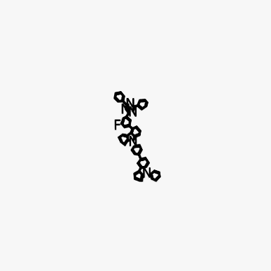 Fc1cc(-c2nc(-c3ccccc3)nc(-c3ccccc3)n2)cc(-c2cccc3c2c2ccccc2n3-c2ccc(-c3ccc4c(c3)c3ccccc3n4-c3ccccc3)cc2)c1